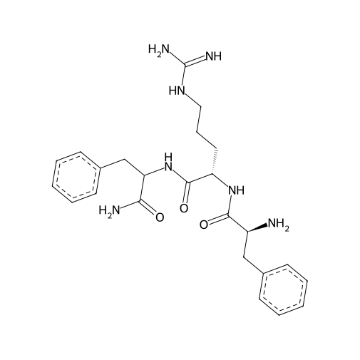 N=C(N)NCCC[C@H](NC(=O)[C@@H](N)Cc1ccccc1)C(=O)NC(Cc1ccccc1)C(N)=O